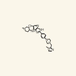 CN1CCC(Nc2c(Cl)cnc3[nH]c(-c4ccc(N5CCN(Cc6nccn6C)CC5)cc4)nc23)CC1